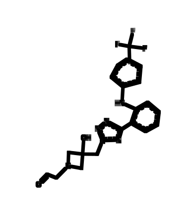 O=CCN1CC(O)(Cn2nnc(-c3ccccc3Nc3ccc(C(F)(F)F)cc3)n2)C1